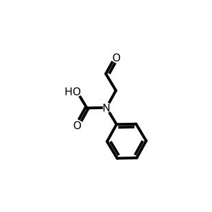 O=CCN(C(=O)O)c1ccccc1